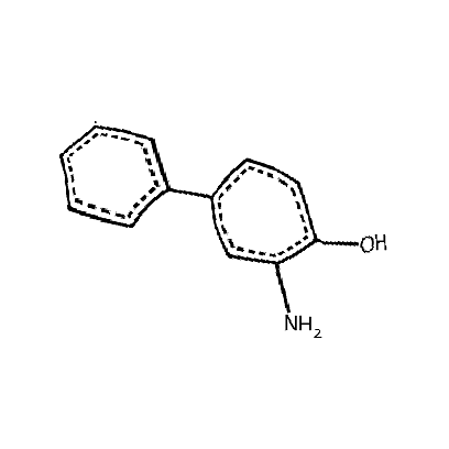 Nc1cc(-c2c[c]ccc2)ccc1O